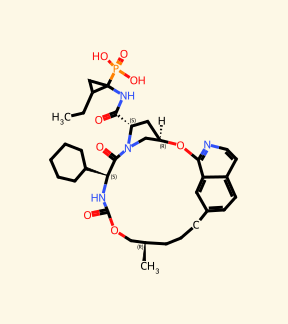 CCC1CC1(NC(=O)[C@@H]1C[C@@H]2CN1C(=O)[C@H](C1CCCCC1)NC(=O)OC[C@H](C)CCCc1ccc3ccnc(c3c1)O2)P(=O)(O)O